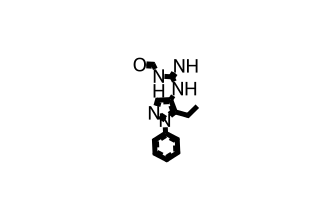 CCc1c(NC(=N)NC=O)cnn1-c1ccccc1